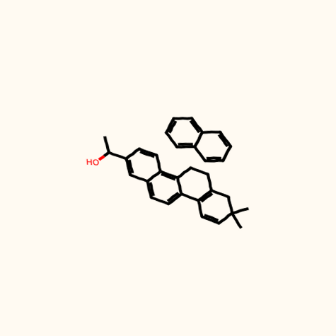 CC(O)c1ccc2c3c(ccc2c1)C1=C(CC3)CC(C)(C)C=C1.c1ccc2ccccc2c1